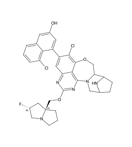 Oc1cc(-c2cc3nc(OC[C@@]45CCCN4C[C@H](F)C5)nc4c3c(c2Cl)OCC2C3CCC(CN42)N3)c2c(Cl)cccc2c1